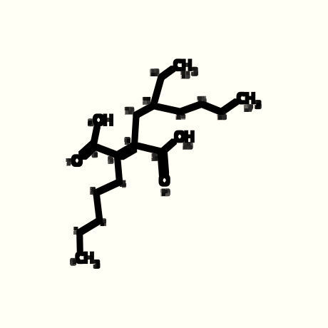 CCCCCC(C(=O)O)=C(CC(CC)CCCC)C(=O)O